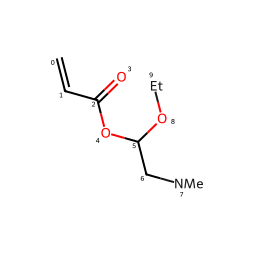 C=CC(=O)OC(CNC)OCC